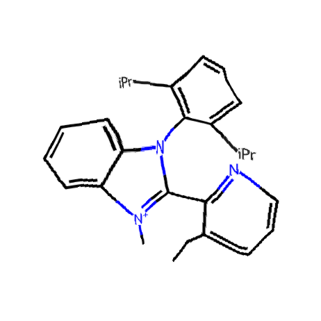 Cc1cccnc1-c1n(-c2c(C(C)C)cccc2C(C)C)c2ccccc2[n+]1C